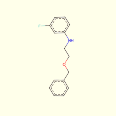 Fc1cccc(NCCOCc2ccccc2)c1